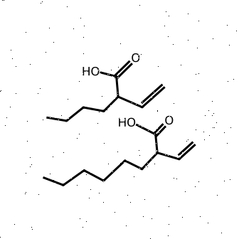 C=CC(CCCC)C(=O)O.C=CC(CCCCCC)C(=O)O